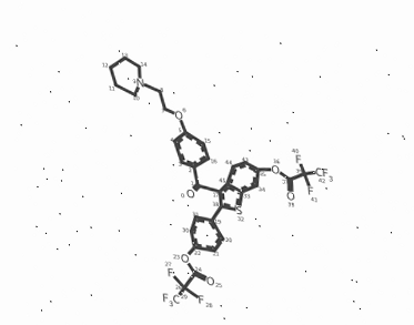 O=C(c1ccc(OCCN2CCCCC2)cc1)c1c(-c2ccc(OC(=O)C(F)(F)C(F)(F)F)cc2)sc2cc(OC(=O)C(F)(F)C(F)(F)F)ccc12